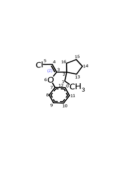 CCC1(/C(=C/Cl)Oc2ccccc2)CCCC1